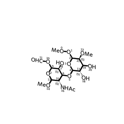 COOC1OC(OC2[C@H](O)C(OC=O)OC(OC)[C@H]2NC(C)=O)[C@@H](O)C(O)[C@@H]1OC